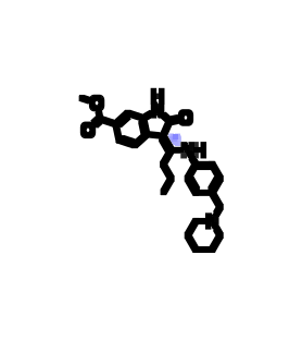 CCC/C(Nc1ccc(CN2CCCCC2)cc1)=C1/C(=O)Nc2cc(C(=O)OC)ccc21